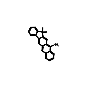 CC1(C)c2ccccc2-c2cc3cc4ccccc4c(N)c3cc21